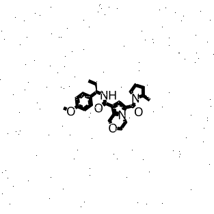 CC[C@@H](NC(=O)c1cc(C(=O)N2CCCC2C)n2c1COCC2)c1ccc(OC)cc1